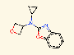 c1ccc2oc(N(C3CC3)C3COC3)nc2c1